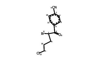 N#Cc1ccc(C(=O)C(Br)CCCCl)cc1